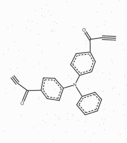 C#CC(=O)c1ccc(N(c2ccccc2)c2ccc(C(=O)C#C)cc2)cc1